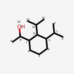 CC(C)C1CCCC(C(C)O)C1C(C)C